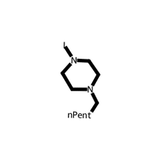 CCCCCCN1CCN(I)CC1